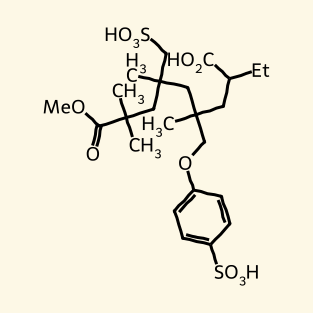 CCC(CC(C)(COc1ccc(S(=O)(=O)O)cc1)CC(C)(CC(C)(C)C(=O)OC)CS(=O)(=O)O)C(=O)O